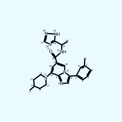 Cc1cccc(-c2cnc3c(N4CCC(C)CC4)cc(C(=O)NC(C)c4ncn[nH]4)cn23)c1